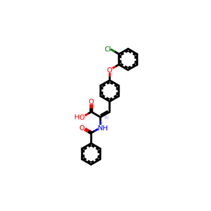 O=C(O)/C(=C\c1ccc(Oc2ccccc2Cl)cc1)NC(=O)c1ccccc1